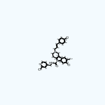 O=C(NCc1ccnc(Cl)c1)n1c2c(c3cc(F)c(Cl)cc31)CN(CC=Cc1ccc(Cl)cc1)CC2